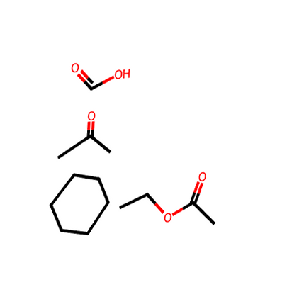 C1CCCCC1.CC(C)=O.CCOC(C)=O.O=CO